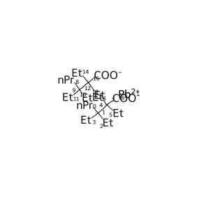 CCCC(CC)(CC)C(CC)(CC)C(=O)[O-].CCCC(CC)(CC)C(CC)(CC)C(=O)[O-].[Pb+2]